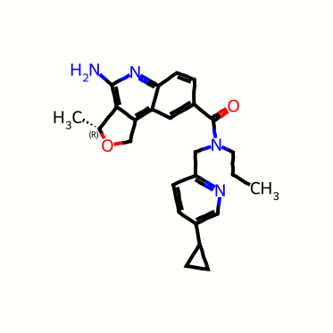 CCCN(Cc1ccc(C2CC2)cn1)C(=O)c1ccc2nc(N)c3c(c2c1)CO[C@@H]3C